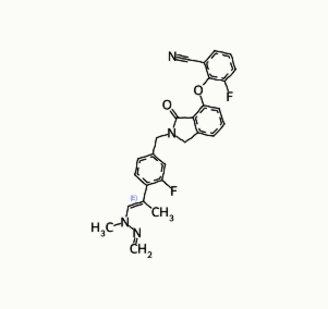 C=NN(C)/C=C(\C)c1ccc(CN2Cc3cccc(Oc4c(F)cccc4C#N)c3C2=O)cc1F